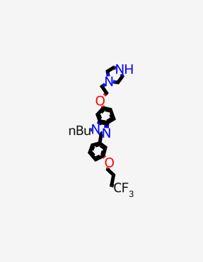 CCCCn1c(-c2cccc(OCCCC(F)(F)F)c2)nc2ccc(OCCN3CCNCC3)cc21